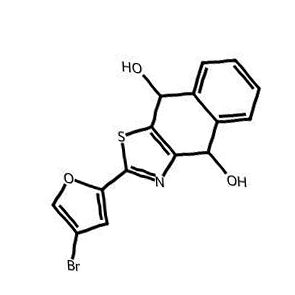 OC1c2ccccc2C(O)c2sc(-c3cc(Br)co3)nc21